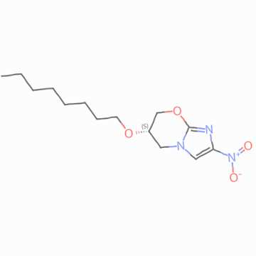 CCCCCCCCO[C@@H]1COc2nc([N+](=O)[O-])cn2C1